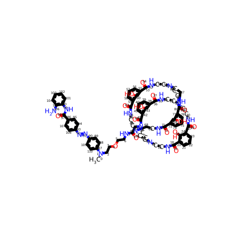 CN(CCOCCNC(=O)CN1CCN2CCNC(=O)c3cccc(c3O)C(=O)NCCN(CCNC(=O)c3cccc(c3O)C1=O)CCN1CCNC(=O)c3cccc(c3O)C(=O)NCCN(CCNC(=O)c3cccc(c3O)C(=O)NCC1)CC2)c1ccc(/N=N/c2ccc(C(=O)Nc3ccccc3N)cc2)cc1